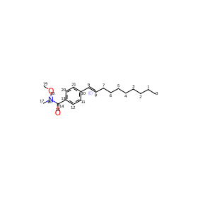 CCCCCCCC/C=C/c1ccc(C(=O)N(C)OC)cc1